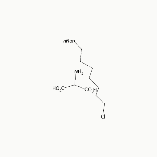 CCCCCCCCCCCCCCCCCl.NC(C(=O)O)C(=O)O